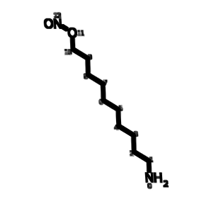 NCCCCCCCCCCON=O